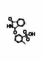 Cc1ccccc1S(=O)(=O)O.O=C1NC(=O)c2ccccc21